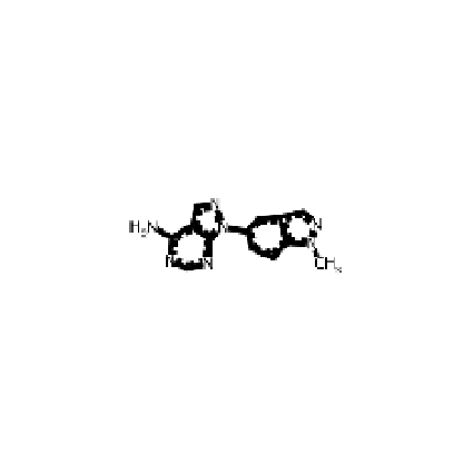 Cn1ncc2cc(-n3ncc4c(N)ncnc43)ccc21